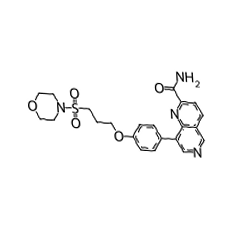 NC(=O)c1ccc2cncc(-c3ccc(OCCCS(=O)(=O)N4CCOCC4)cc3)c2n1